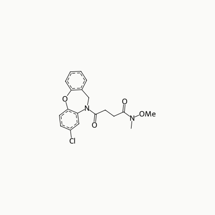 CON(C)C(=O)CCC(=O)N1Cc2ccccc2Oc2ccc(Cl)cc21